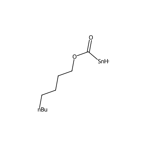 CCCCCCCCO[C](=O)[SnH]